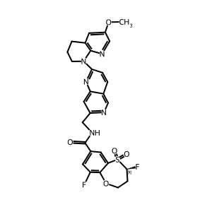 COc1cnc2c(c1)CCCN2c1ccc2cnc(CNC(=O)c3cc(F)c4c(c3)S(=O)(=O)[C@@H](F)CCO4)cc2n1